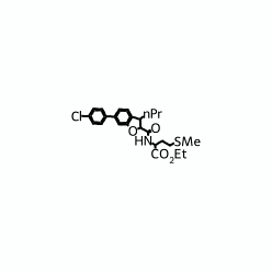 CCCC1c2ccc(-c3ccc(Cl)cc3)cc2OC1C(=O)NC(CCSC)C(=O)OCC